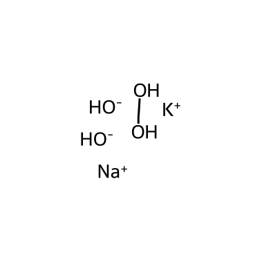 OO.[K+].[Na+].[OH-].[OH-]